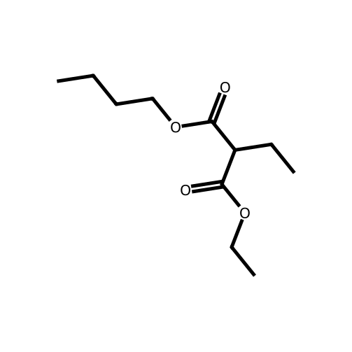 CCCCOC(=O)C(CC)C(=O)OCC